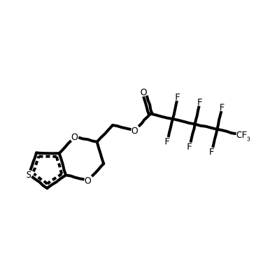 O=C(OCC1COc2cscc2O1)C(F)(F)C(F)(F)C(F)(F)C(F)(F)F